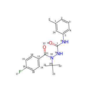 Cc1cccc(NC(=O)NN(C(=O)c2ccc(F)cc2)C(C)(C)C)c1